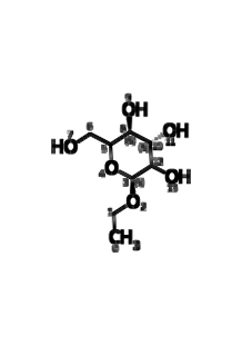 CCO[C@H]1OC(CO)[C@@H](O)[C@H](O)C1O